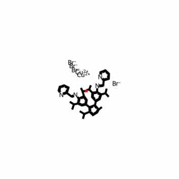 Cc1ccc(C(C)C)c(-c2cc(C(C)C)c(/N=C/c3ccccn3)c(C(C)C)c2)c1-c1cc(C(C)C)c(/N=C/c2ccccn2)c(C(C)C)c1.[Br-].[Br-].[Br-].[Br-].[Cu+2].[Cu+2]